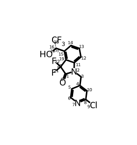 O=C1N(Cc2ccnc(Cl)c2)c2cccc([C@H](O)C(F)(F)F)c2C1(F)F